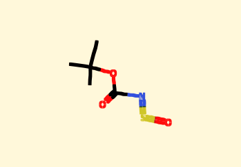 CC(C)(C)OC(=O)N=S=O